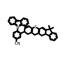 CC1(C)C2=CC3=C(CC4=C(C=CC(c5cc(C#N)ccc5-n5c6ccccc6c6ccccc65)C4)S3)CC2c2ccccc21